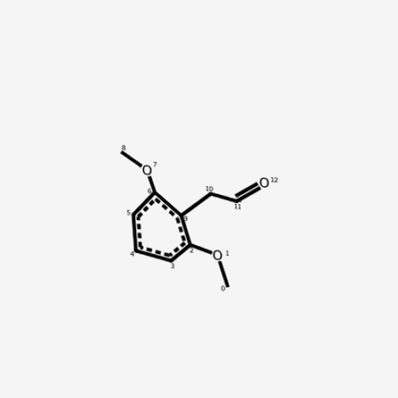 COc1cccc(OC)c1C[C]=O